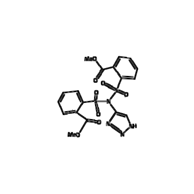 COC(=O)c1ccccc1S(=O)(=O)N(c1c[nH]nn1)S(=O)(=O)c1ccccc1C(=O)OC